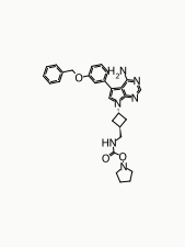 Nc1ncnc2c1c(-c1cccc(OCc3ccccc3)c1)cn2[C@H]1C[C@H](CNC(=O)ON2CCCC2)C1